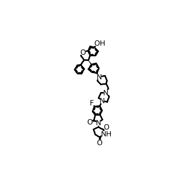 O=C1CC[C@H](N2Cc3cc(N4CCN(CC5CCN(c6ccc([C@@H]7c8ccc(O)cc8OCC7c7ccccc7)cc6)CC5)CC4)c(F)cc3C2=O)C(=O)N1